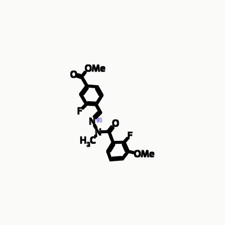 COC(=O)c1ccc(/C=N/N(C)C(=O)c2cccc(OC)c2F)c(F)c1